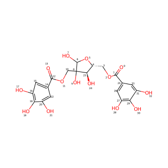 O=C(OC[C@H]1OC(O)C(O)(COC(=O)c2cc(O)c(O)c(O)c2)[C@@H]1O)c1cc(O)c(O)c(O)c1